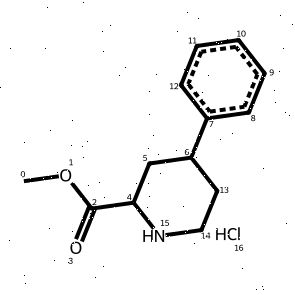 COC(=O)C1CC(c2ccccc2)CCN1.Cl